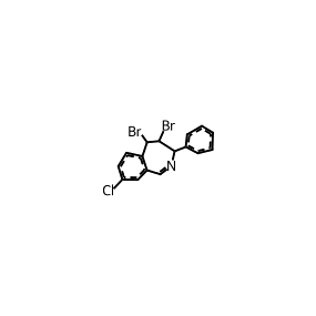 Clc1ccc2c(c1)C=NC(c1ccccc1)C(Br)C2Br